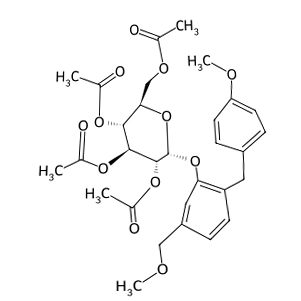 COCc1ccc(Cc2ccc(OC)cc2)c(O[C@H]2O[C@H](COC(C)=O)[C@@H](OC(C)=O)[C@H](OC(C)=O)[C@H]2OC(C)=O)c1